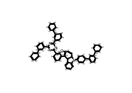 C1=CC2C(c3ccccc3N2c2ccc(-c3cccc(-c4ccccc4)c3)cc2)c2c1oc1c(-c3nc(-c4cccc(-c5ccccc5)c4)nc(-c4cccc(-c5ccccc5)c4)n3)cccc21